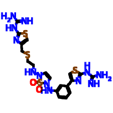 N=C(N)Nc1nc(CSCCNN2C=CN(Nc3cccc(-c4csc(NC(=N)N)n4)c3)S2(=O)=O)cs1